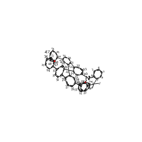 CC1(C)c2ccccc2N(c2ccc3c(c2)C2(c4cc(-c5ccccc5)ccc4-c4ccc(-c5ccccc5)cc42)c2cc(-c4ccccc4)ccc2-3)c2ccccc21